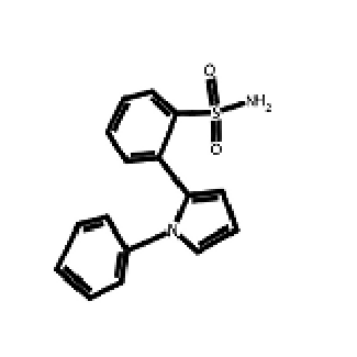 NS(=O)(=O)c1ccccc1-c1cccn1-c1ccccc1